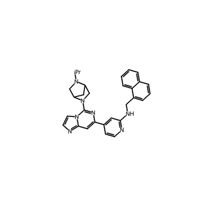 CC(C)N1CC2CC1CN2c1nc(-c2ccnc(NCc3cccc4ccccc34)c2)cc2nccn12